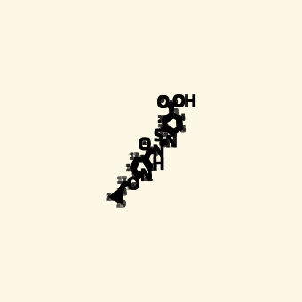 O=C(O)c1ccc2nc(NC(=O)c3ccc(OCC4CC4)nc3)sc2c1